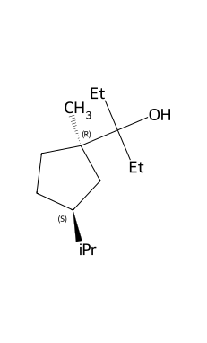 CCC(O)(CC)[C@]1(C)CC[C@H](C(C)C)C1